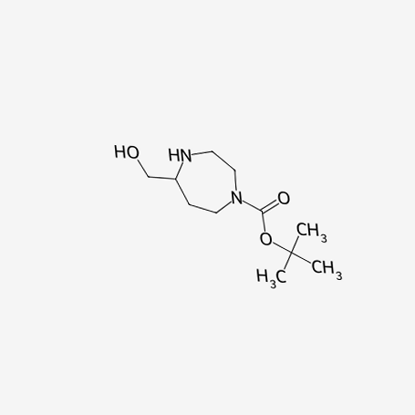 CC(C)(C)OC(=O)N1CCNC(CO)CC1